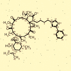 C=C[C@]12OC(=O)N(CCCCn3cnc(-c4cccnc4)c3)[C@@H]1[C@@H](C)C(=O)[C@H](C)C[C@](C)(OC)[C@H](OC1O[C@H](C)C[C@H](N(C)C)[C@H]1O)[C@@H](C)C(=O)[C@@H](C)C(=O)O[C@@H]2CC